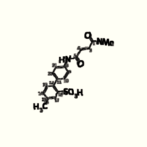 CNC(=O)/C=C/C(=O)Nc1ccc(-c2ccc(C)cc2S(=O)(=O)O)cc1